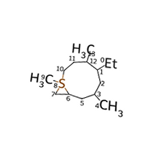 CCC1CC(C)CC2CS2(C)CCC1C